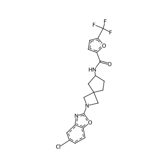 O=C(NC1CCC2(C1)CN(c1nc3cc(Cl)ccc3o1)C2)c1ccc(C(F)(F)F)o1